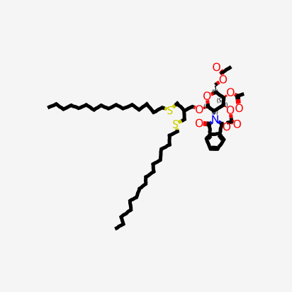 CCCCCCCCCCCCCCCCSCC(CO[C@H]1O[C@H](COC(C)=O)[C@@H](OC(C)=O)[C@H](OC(C)=O)[C@@H]1N1C(=O)c2ccccc2C1=O)CSCCCCCCCCCCCCCCCC